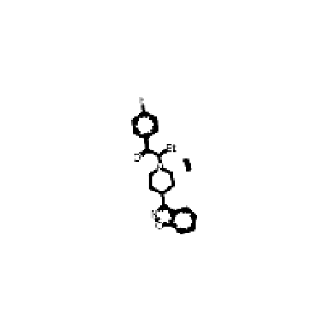 C=C.CCC(C(=O)c1ccc(F)cc1)N1CCC(c2noc3ccccc23)CC1